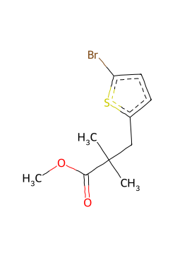 COC(=O)C(C)(C)Cc1ccc(Br)s1